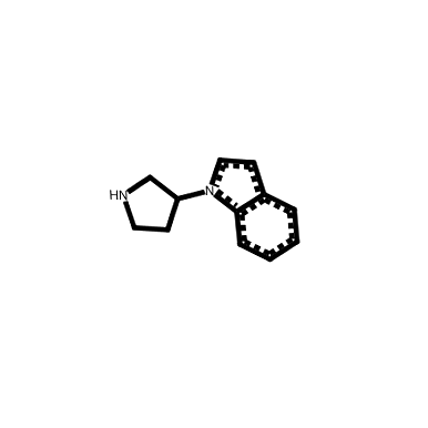 c1ccc2c(c1)ccn2C1CCNC1